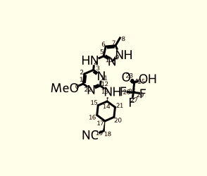 COc1cc(Nc2cc(C)[nH]n2)nc(N[C@H]2CC[C@H](CC#N)CC2)n1.O=C(O)C(F)(F)F